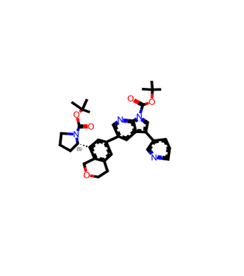 CC(C)(C)OC(=O)N1CCC[C@H]1c1cc(-c2cnc3c(c2)c(-c2cccnc2)cn3C(=O)OC(C)(C)C)cc2c1COCC2